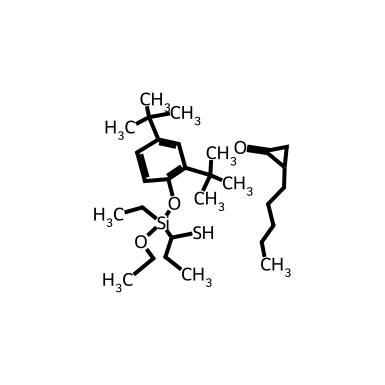 CCCCCC1CC1=O.CCO[Si](CC)(Oc1ccc(C(C)(C)C)cc1C(C)(C)C)C(S)CC